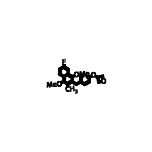 COc1c(C)c(Cc2ccc(OC3COC3)nc2)c(OC)c2cc(F)ccc12